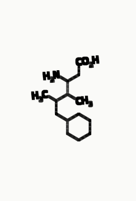 CC(CC1CCCCC1)C(C)C(N)CC(=O)O